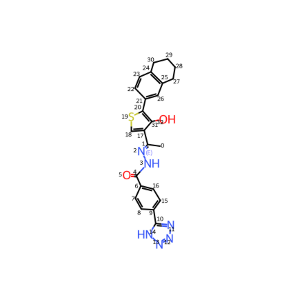 C/C(=N\NC(=O)c1ccc(-c2nnn[nH]2)cc1)c1csc(-c2ccc3c(c2)CCCC3)c1O